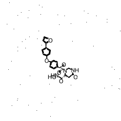 O=C1C[C@H](C(=O)NO)N(S(=O)(=O)c2ccc(Oc3ccc(-c4ccco4)cc3)cc2)CN1